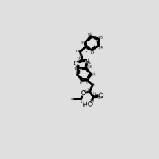 CCOC(Cc1ccc2oc(Cc3ccccc3)nc2c1)C(=O)O